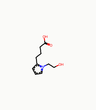 O=C(O)CCCc1cccn1CCO